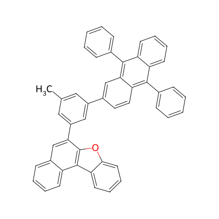 Cc1cc(-c2ccc3c(-c4ccccc4)c4ccccc4c(-c4ccccc4)c3c2)cc(-c2cc3ccccc3c3c2oc2ccccc23)c1